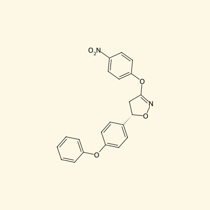 O=[N+]([O-])c1ccc(OC2=NO[C@H](c3ccc(Oc4ccccc4)cc3)C2)cc1